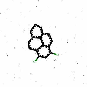 Clc1cc(Cl)c2ccc3cccc4ccc1c2c43